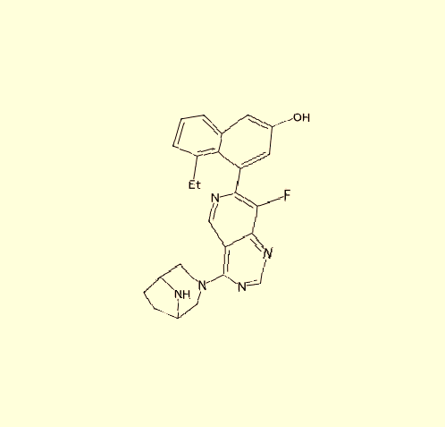 CCc1cccc2cc(O)cc(-c3ncc4c(N5CC6CCC(C5)N6)ncnc4c3F)c12